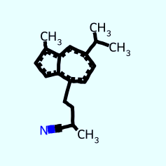 Cc1ccc2c(CCC(C)C#N)ccc(C(C)C)cc1-2